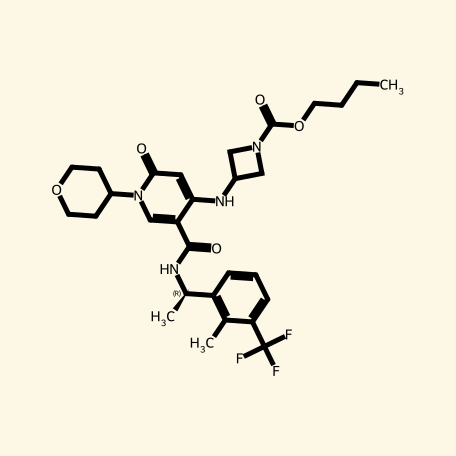 CCCCOC(=O)N1CC(Nc2cc(=O)n(C3CCOCC3)cc2C(=O)N[C@H](C)c2cccc(C(F)(F)F)c2C)C1